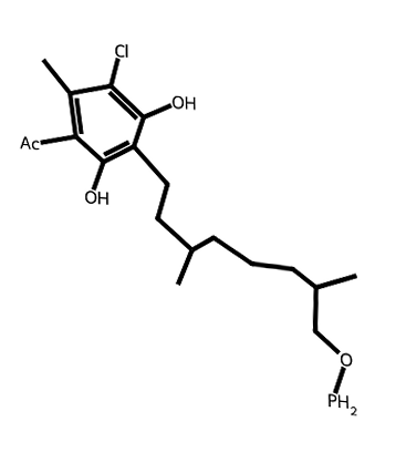 CC(=O)c1c(C)c(Cl)c(O)c(CCC(C)CCCC(C)COP)c1O